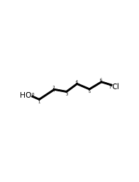 OC[CH]CCCCCl